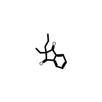 CCCC1(CC)C(=O)c2ccccc2C1=O